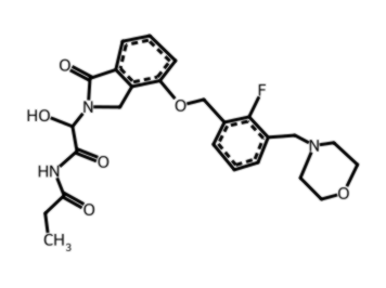 CCC(=O)NC(=O)C(O)N1Cc2c(OCc3cccc(CN4CCOCC4)c3F)cccc2C1=O